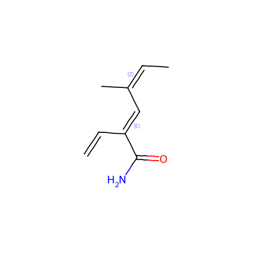 C=C/C(=C\C(C)=C/C)C(N)=O